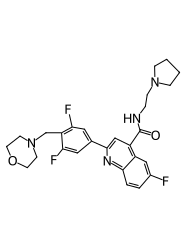 O=C(NCCN1CCCC1)c1cc(-c2cc(F)c(CN3CCOCC3)c(F)c2)nc2ccc(F)cc12